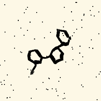 Brc1cccc(-c2cccc(-c3cncnc3)c2)c1